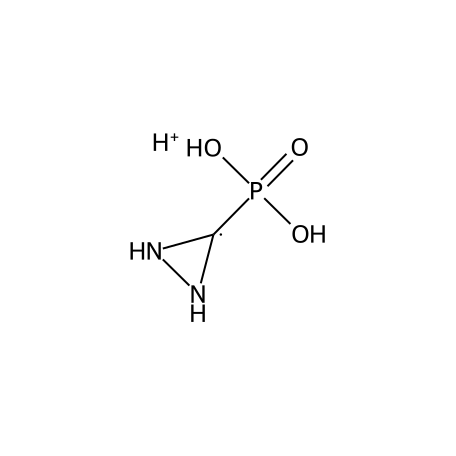 O=P(O)(O)[C]1NN1.[H+]